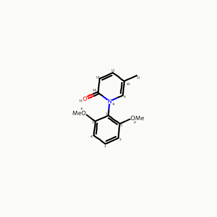 COc1cccc(OC)c1-n1cc(C)ccc1=O